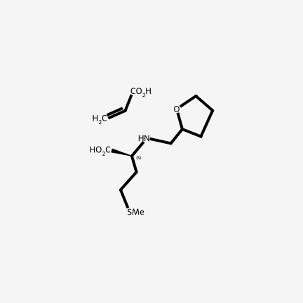 C=CC(=O)O.CSCC[C@H](NCC1CCCO1)C(=O)O